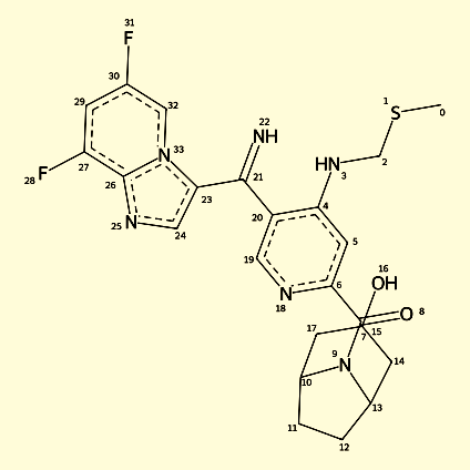 CSCNc1cc(C(=O)N2C3CCC2CC(O)C3)ncc1C(=N)c1cnc2c(F)cc(F)cn12